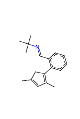 CC1=CC(C)=C(c2ccccc2C=NC(C)(C)C)C1